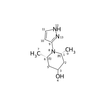 C[C@@H]1CC(O)C[C@H](C)N1c1cc[nH]n1